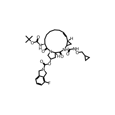 CC(C)(C)OC(=O)N[C@H]1CCCCCC=C[C@@H]2C[C@@]2(C(=O)NOCC2CC2)NC(=O)[C@@H]2C[C@@H](OC(=O)N3Cc4cccc(F)c4C3)CN2C1=O